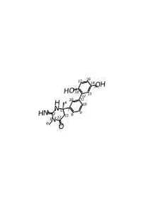 CN1C(=N)N[C@](C)(c2cccc(-c3cc(O)ccc3O)c2)CC1=O